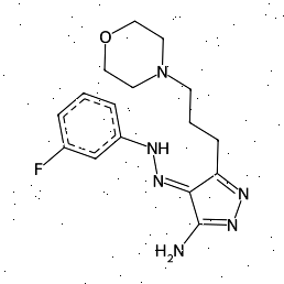 NC1=NN=C(CCCN2CCOCC2)/C1=N\Nc1cccc(F)c1